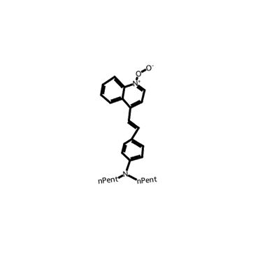 CCCCCN(CCCCC)c1ccc(C=Cc2cc[n+](O[O-])c3ccccc23)cc1